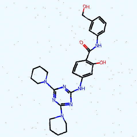 O=C(Nc1cccc(CO)c1)c1ccc(Nc2nc(N3CCCCC3)nc(N3CCCCC3)n2)cc1O